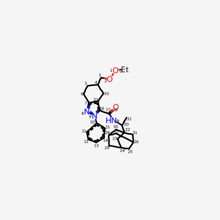 CCOOCC1CCc2nn(-c3ccccc3)c(C(=O)NC(C)C34CC5CC(CC(C5)C3)C4)c2C1